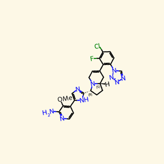 COc1c(-c2cnc([C@H]3CC[C@H]4CC(c5c(-n6cnnn6)ccc(Cl)c5F)=CCN43)[nH]2)ccnc1N